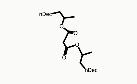 CCCCCCCCCCCC(C)OC(=O)CC(=O)OC(C)CCCCCCCCCCC